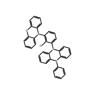 Clc1c(B2c3ccccc3Oc3ccccc32)cccc1N1c2ccccc2N(c2ccccc2)c2ccccc21